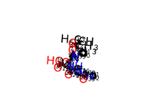 CC(C)(C)C(=O)COc1cc(C(=O)N[C@@H](CCC(=O)O)C(=O)N2CCN(CC(=O)N3CCCC3)CC2)nn1-c1ccccc1